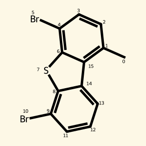 Cc1ccc(Br)c2sc3c(Br)cccc3c12